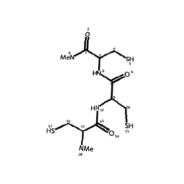 CNC(=O)C(CS)NC(=O)C(CS)NC(=O)C(CS)NC